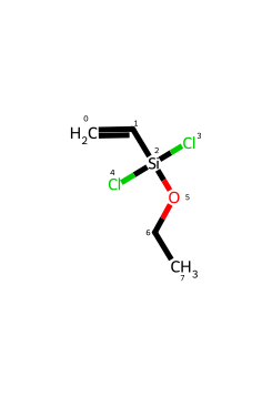 C=C[Si](Cl)(Cl)OCC